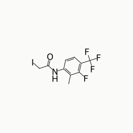 Cc1c(NC(=O)CI)ccc(C(F)(F)F)c1F